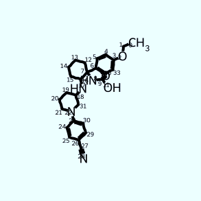 CCOc1ccc(C2(NC(=O)O)CCCCC2NC2CCCN(c3ccc(C#N)cc3)C2)cc1